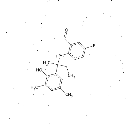 CCC(C)(Pc1ccc(F)cc1C=O)c1cc(C)cc(C)c1O